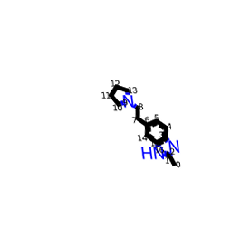 Cc1nc2ccc(CCN3CCCC3)cc2[nH]1